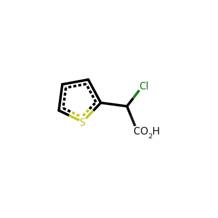 O=C(O)C(Cl)c1cccs1